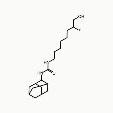 O=C(NCCCCCCC(F)CO)NC1C2CC3CC(C2)CC1C3